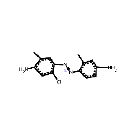 Cc1cc(/N=N/c2ccc(N)cc2C)c(Cl)cc1N